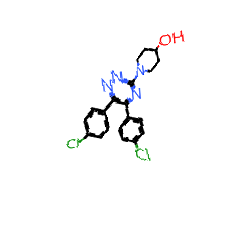 OC1CCN(c2nnc(-c3ccc(Cl)cc3)c(-c3ccc(Cl)cc3)n2)CC1